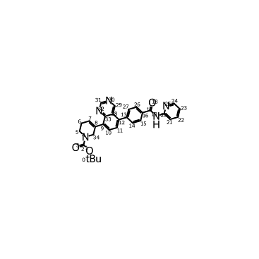 CC(C)(C)OC(=O)N1CCC=C(c2ccc(-c3ccc(C(=O)Nc4ccccn4)cc3)c3cncnc23)C1